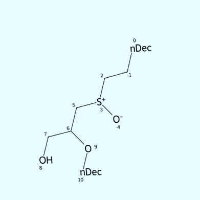 CCCCCCCCCCCC[S+]([O-])CC(CO)OCCCCCCCCCC